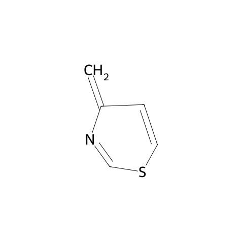 C=C1C=CSC=N1